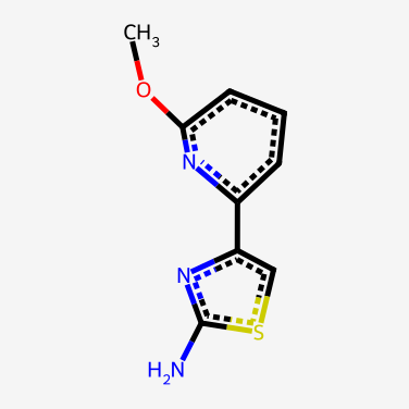 COc1cccc(-c2csc(N)n2)n1